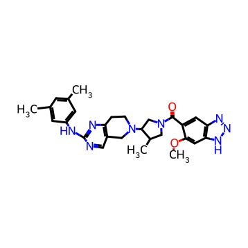 COc1cc2[nH]nnc2cc1C(=O)N1CC(C)C(N2CCc3nc(Nc4cc(C)cc(C)c4)ncc3C2)C1